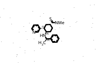 CNC=S.C[C@@H](N[C@@H]1CCCC[C@H]1c1cccnc1)c1ccccc1